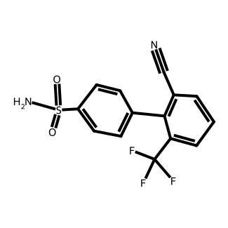 N#Cc1cccc(C(F)(F)F)c1-c1ccc(S(N)(=O)=O)cc1